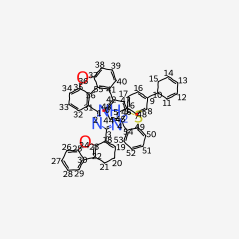 N/C(=N\C(=N/Cc1ccc(C2C=CC=CC2)cc1)C1=CCCc2c1oc1ccccc21)c1cccc2oc3cccc(-c4ccc5c(c4)sc4ccccc45)c3c12